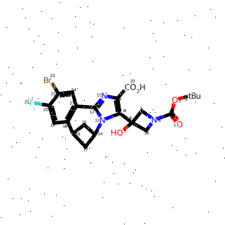 CC(C)(C)OC(=O)N1CC(O)(c2c(C(=O)O)nc3n2C2CC(C2)c2cc(F)c(Br)cc2-3)C1